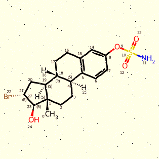 C[C@]12CC[C@@H]3c4ccc(OS(N)(=O)=O)cc4CC[C@H]3[C@@H]1C[C@@H](Br)[C@@H]2O